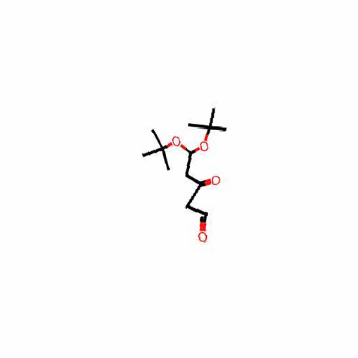 CC(C)(C)OC(CC(=O)CC=O)OC(C)(C)C